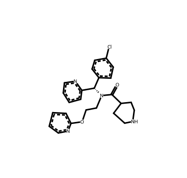 O=C(C1CCNCC1)N(CCOc1ccccn1)[C@@H](c1ccc(Cl)cc1)c1ccccn1